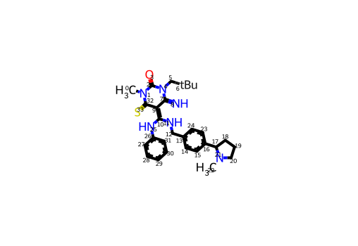 CN1C(=O)N(CC(C)(C)C)C(=N)/C(=C(\NCc2ccc(C3CCCN3C)cc2)Nc2ccccc2)C1=S